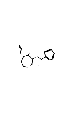 C=CC[C@@H]1CCO[C@H](O)C(NCc2ccccc2)C1O